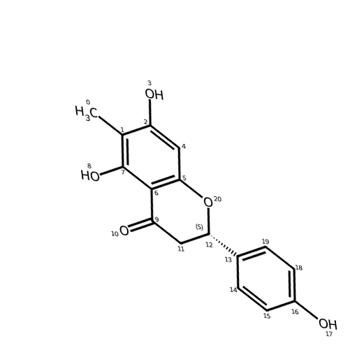 Cc1c(O)cc2c(c1O)C(=O)C[C@@H](c1ccc(O)cc1)O2